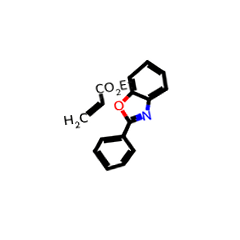 C=CC(=O)OCC.c1ccc(-c2nc3ccccc3o2)cc1